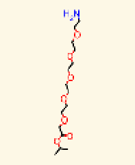 CC(C)OC(=O)COCCOCCOCCOCCOCCN